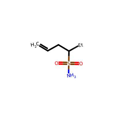 C=CCC(CC)S(N)(=O)=O